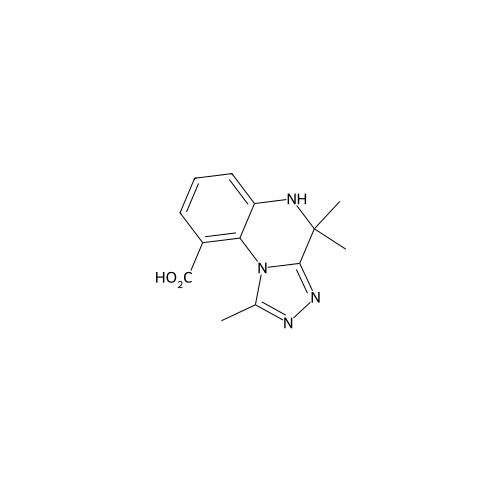 Cc1nnc2n1-c1c(cccc1C(=O)O)NC2(C)C